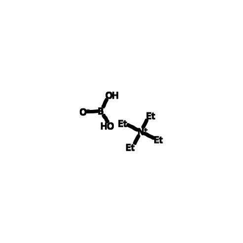 CC[N+](CC)(CC)CC.[O-]B(O)O